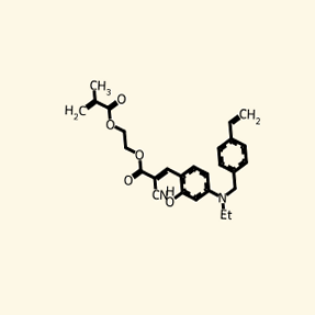 C=Cc1ccc(CN(CC)c2ccc(/C=C(\C#N)C(=O)OCCOC(=O)C(=C)C)c(O)c2)cc1